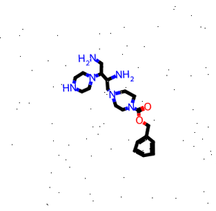 NCC(C(N)CN1CCN(C(=O)OCc2ccccc2)CC1)N1CCNCC1